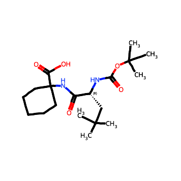 CC(C)(C)C[C@@H](NC(=O)OC(C)(C)C)C(=O)NC1(C(=O)O)CCCCC1